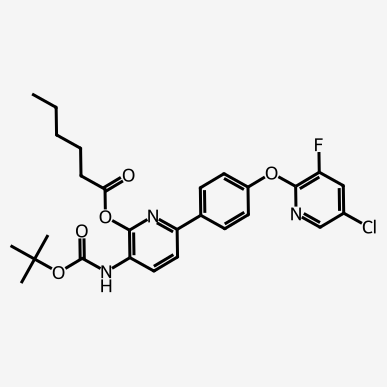 CCCCCC(=O)Oc1nc(-c2ccc(Oc3ncc(Cl)cc3F)cc2)ccc1NC(=O)OC(C)(C)C